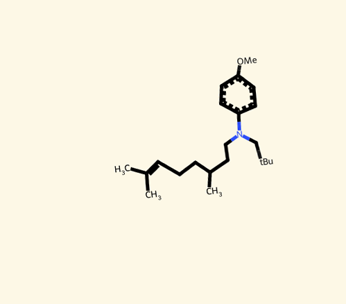 COc1ccc(N(CCC(C)CCC=C(C)C)CC(C)(C)C)cc1